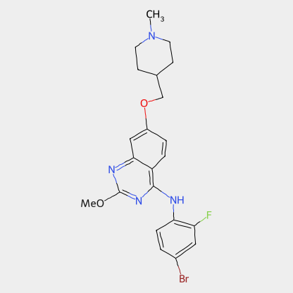 COc1nc(Nc2ccc(Br)cc2F)c2ccc(OCC3CCN(C)CC3)cc2n1